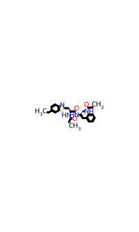 C=CC(=O)NC[C@H](Cc1ccccc1)NC(=O)[C@H](Cc1nc2ccc(CC)cc2s1)NC(=O)CC